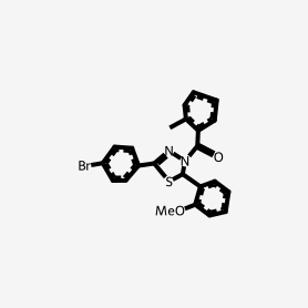 COc1ccccc1C1SC(c2ccc(Br)cc2)=NN1C(=O)c1ccccc1C